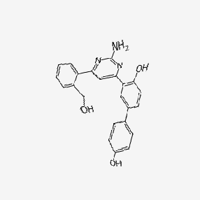 Nc1nc(-c2cc(-c3ccc(O)cc3)ccc2O)cc(-c2ccccc2CO)n1